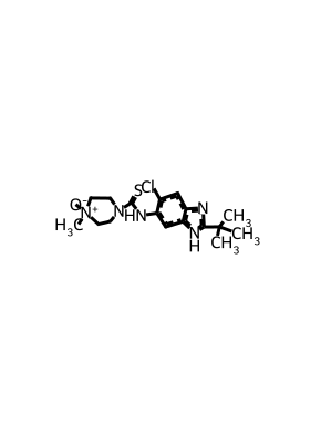 CC(C)(C)c1nc2cc(Cl)c(NC(=S)N3CC[N+](C)([O-])CC3)cc2[nH]1